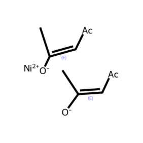 CC(=O)/C=C(\C)[O-].CC(=O)/C=C(\C)[O-].[Ni+2]